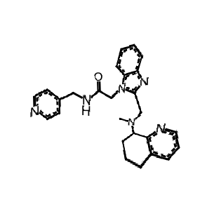 CN(Cc1nc2ccccc2n1CC(=O)NCc1ccncc1)C1CCCc2cccnc21